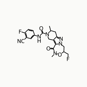 CC1Cc2nn3c(c2CN1C(=O)Nc1ccc(F)c(C#N)c1)C(=O)N(C)OC(CF)C3